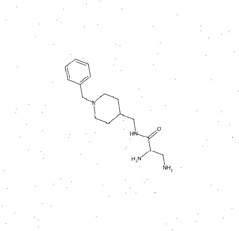 NCC(N)C(=O)NCC1CCN(Cc2ccccc2)CC1